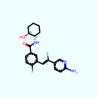 Nc1ccc(/C(F)=C/c2cc(C(=O)N[C@H]3CCCC[C@@H]3O)ccc2F)cn1